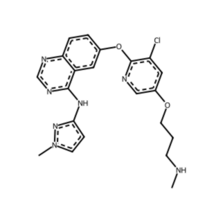 CNCCCOc1cnc(Oc2ccc3ncnc(Nc4ccn(C)n4)c3c2)c(Cl)c1